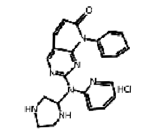 Cl.O=c1ccc2cnc(N(c3ccccn3)C3CNCCN3)nc2n1-c1ccccc1